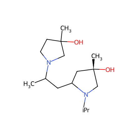 CC(CC1C[C@](C)(O)CN1C(C)C)N1CCC(C)(O)C1